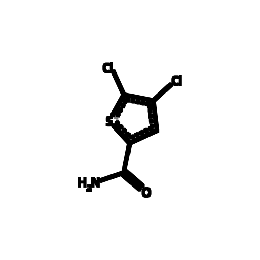 NC(=O)c1cc(Cl)c(Cl)s1